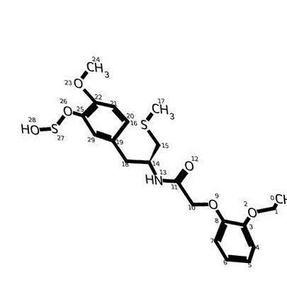 CCOc1ccccc1OCC(=O)N[C@H](CSC)Cc1ccc(OC)c(OSO)c1